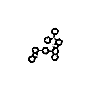 c1ccc(N(c2ccccc2)c2cccc3c2oc2c(-c4ccc(-c5cccc6c5sc5ccccc56)cc4)c4ccccc4cc23)cc1